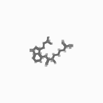 CN(C)CCc1c[nH]c2cccc(OC(=O)N(C)CCCCC(=O)O)c12